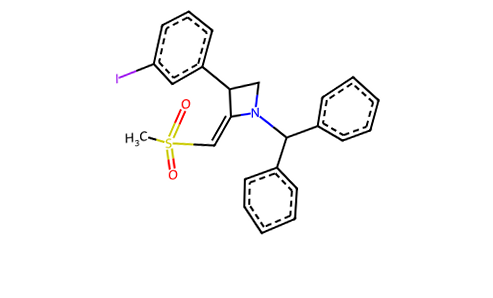 CS(=O)(=O)C=C1C(c2cccc(I)c2)CN1C(c1ccccc1)c1ccccc1